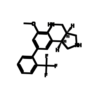 COc1cc(-c2ccccc2C(F)(F)F)cc2c1NC[C@H]1CNC[C@@H]21